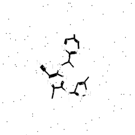 Cc1cc(Nc2nc(NC(C)c3ncc(F)cn3)c(C#N)nc2C)n[nH]1